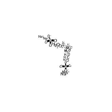 O.O.O.O.O.O.O.O.O.O.O=S(=O)([O-])[O-].O=S(=O)([O-])[O-].[Na+].[Na+].[Na+].[Na+]